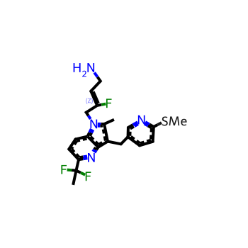 CSc1ccc(Cc2c(C)n(C/C(F)=C/CN)c3ccc(C(C)(F)F)nc23)cn1